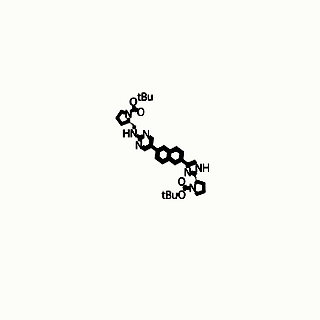 CC(C)(C)OC(=O)N1CCC[C@H]1CNc1ncc(-c2ccc3cc(-c4c[nH]c([C@@H]5CCCN5C(=O)OC(C)(C)C)n4)ccc3c2)cn1